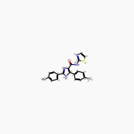 CC(C)(C)c1ccc(-c2nc(C(=O)Nc3nccs3)c(-c3ccc([N+](=O)[O-])cc3)[nH]2)cc1